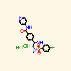 CN(CC(N)c1ccc(C(=O)Nc2ccncc2)cc1)S(=O)(=O)c1ccc(F)cc1.Cl.Cl